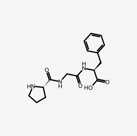 O=C(CNC(=O)[C@@H]1CCCN1)N[C@@H](Cc1ccccc1)C(=O)O